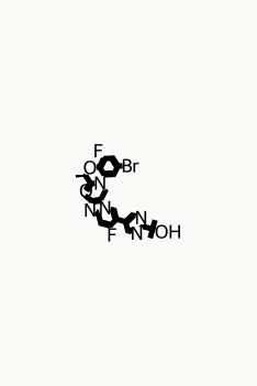 Cc1nc2cc(F)c(-c3cnc(C(C)(C)O)nc3)cn2c1CN1C(=O)[C@@H](C)Oc2c(F)cc(Br)cc21